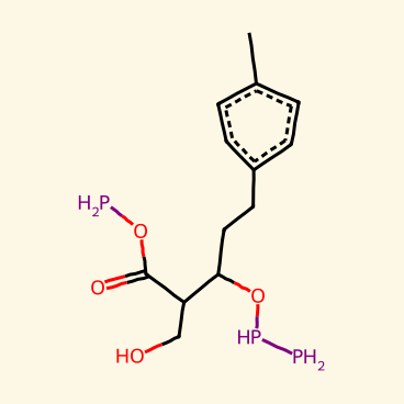 Cc1ccc(CCC(OPP)C(CO)C(=O)OP)cc1